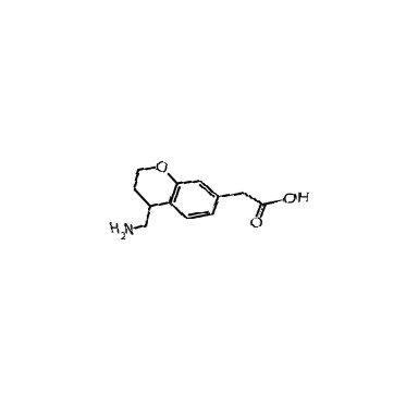 NCC1CCOc2cc(CC(=O)O)ccc21